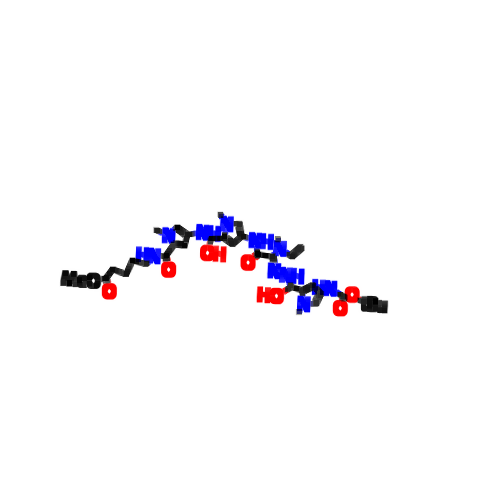 C=CN(C)/C(=N\NC(O)c1cc(NC(=O)OC(C)(C)C)cn1C)C(=O)Nc1cc(C(O)Nc2cc(C(=O)NCCCCC(=O)OC)n(C)c2)n(C)c1